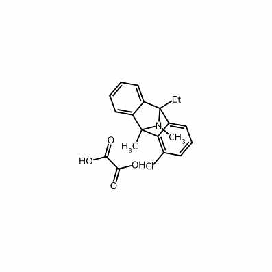 CCC12c3ccccc3C(C)(c3c(Cl)cccc31)N2C.O=C(O)C(=O)O